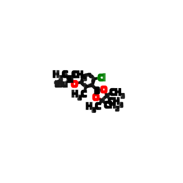 Cc1c(O[Si](C)(C)C(C)(C)C)ccc(Cl)c1B1OC(C)(C)C(C)(C)O1